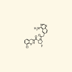 Nc1ncnc2ccc(CC(=O)N3C[C@H](F)C[C@H]3C(=O)NCc3cccc(Cl)c3F)cc12